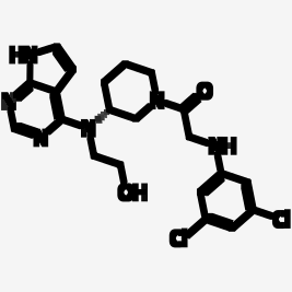 O=C(CNc1cc(Cl)cc(Cl)c1)N1CCC[C@@H](N(CCO)c2ncnc3[nH]ccc23)C1